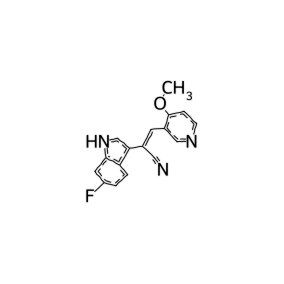 COc1ccncc1/C=C(\C#N)c1c[nH]c2cc(F)ccc12